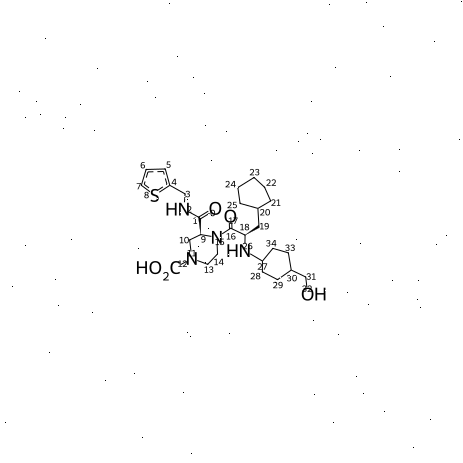 O=C(NCc1cccs1)[C@@H]1CN(C(=O)O)CCN1C(=O)[C@@H](CC1CCCCC1)NC1CCC(CO)CC1